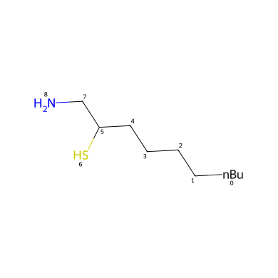 CCCCCCCCC(S)CN